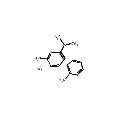 CN(C)c1cccc(N)n1.Cl.Nc1ccccn1